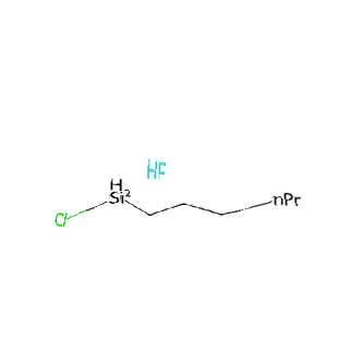 CCCCCC[SiH2]Cl.F